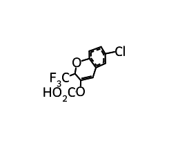 O=C(O)OC1=Cc2cc(Cl)ccc2OC1C(F)(F)F